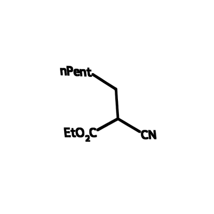 CCCCCCC(C#N)C(=O)OCC